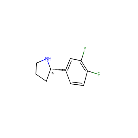 Fc1ccc([C@@H]2CCCN2)cc1F